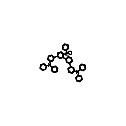 O=P1(c2ccccc2)c2ccc(-c3cccc(N(c4ccccc4)c4ccccc4)c3)cc2-c2cc(-c3cccc(N(c4ccccc4)c4ccccc4)c3)ccc21